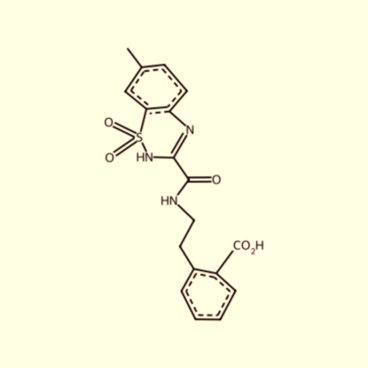 Cc1ccc2c(c1)S(=O)(=O)NC(C(=O)NCCc1ccccc1C(=O)O)=N2